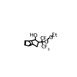 CCOCOC(C1CC2C3C=CC(C3)C2C1O)(C(F)(F)F)C(F)(F)F